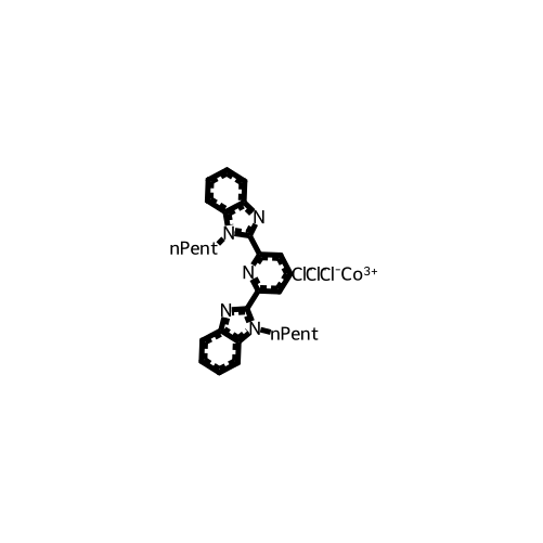 CCCCCn1c(-c2cccc(-c3nc4ccccc4n3CCCCC)n2)nc2ccccc21.[Cl-].[Cl-].[Cl-].[Co+3]